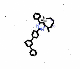 C=C1/C=C\C=C/C[Si](C)(C)c2c1nc(-c1ccc(-c3cccc(-c4ccccc4)c3)cc1)nc2-c1ccccc1